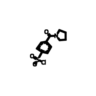 O=C(c1ccc(S(=O)(=O)Cl)cc1)N1CCCC1